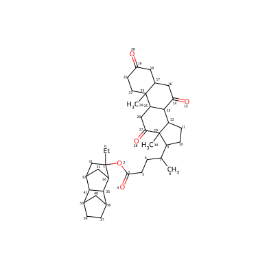 CCC1(OC(=O)CCC(C)C2CCC3C4C(=O)CC5CC(=O)CCC5(C)C4CC(=O)C23C)CC2CC1C1C3CCC(C3)C21